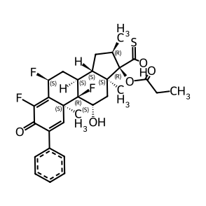 CCC(=O)O[C@]1(C(O)=S)[C@H](C)C[C@H]2[C@@H]3C[C@H](F)C4=C(F)C(=O)C(c5ccccc5)=C[C@]4(C)[C@@]3(F)[C@@H](O)C[C@@]21C